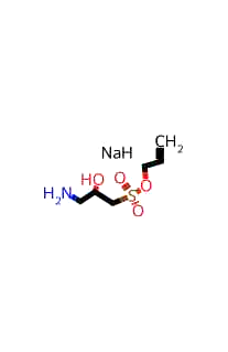 C=CCOS(=O)(=O)CC(O)CN.[NaH]